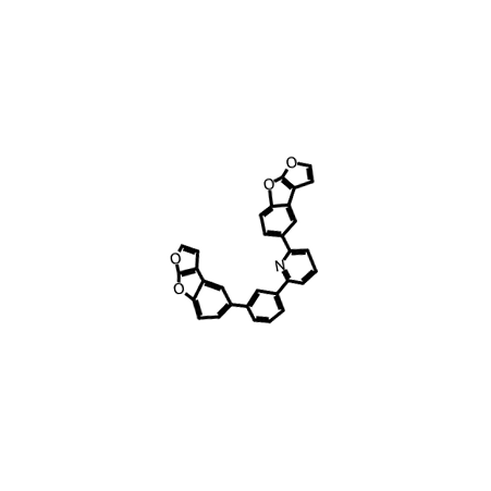 c1cc(-c2ccc3oc4occc4c3c2)cc(-c2cccc(-c3ccc4oc5occc5c4c3)n2)c1